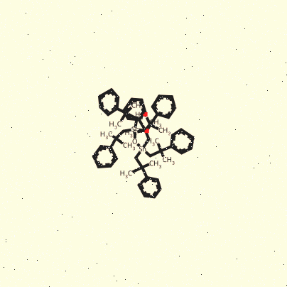 CC(C)([CH2][Sn]([CH2]C(C)(C)c1ccccc1)([CH2]C(C)(C)c1ccccc1)[O][Sn]([CH2]C(C)(C)c1ccccc1)([CH2]C(C)(C)c1ccccc1)[CH2]C(C)(C)c1ccccc1)c1ccccc1